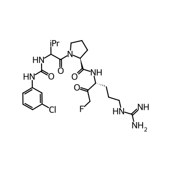 CC(C)C(NC(=O)Nc1cccc(Cl)c1)C(=O)N1CCC[C@H]1C(=O)N[C@H](CCCNC(=N)N)C(=O)CF